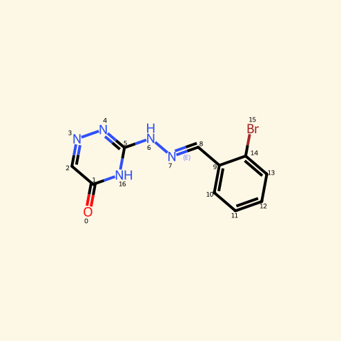 O=c1cnnc(N/N=C/c2ccccc2Br)[nH]1